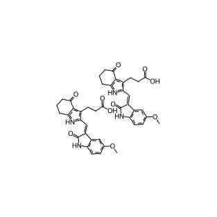 COc1ccc2c(c1)C(=Cc1[nH]c3c(c1CCC(=O)O)C(=O)CCC3)C(=O)N2.COc1ccc2c(c1)C(=Cc1[nH]c3c(c1CCC(=O)O)C(=O)CCC3)C(=O)N2